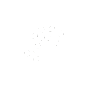 c1ccc(S(c2ccccc2)(c2ccccc2)c2ccc(-n3c4ccccc4c4cc(-n5c6ccccc6c6ccccc65)ccc43)c3c2oc2ccccc23)cc1